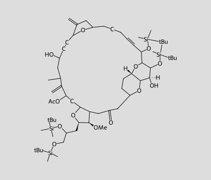 C=C1CC2CCC/C=C/C(O[Si](C)(C)C(C)(C)C)C3O[C@H]4CCC(CC(=O)CC5C(CC(OC(C)=O)C(=C)C(C)CC(O)CCC1O2)O[C@H](CC(CO[Si](C)(C)C(C)(C)C)O[Si](C)(C)C(C)(C)C)[C@@H]5OC)OC4[C@H](O)C3O[Si](C)(C)C(C)(C)C